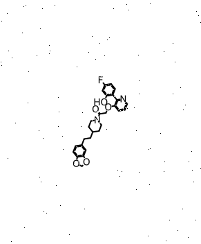 O=C(COc1cccnc1-c1ccc(F)cc1O)N1CCC(CCc2ccc3c(c2)OCO3)CC1